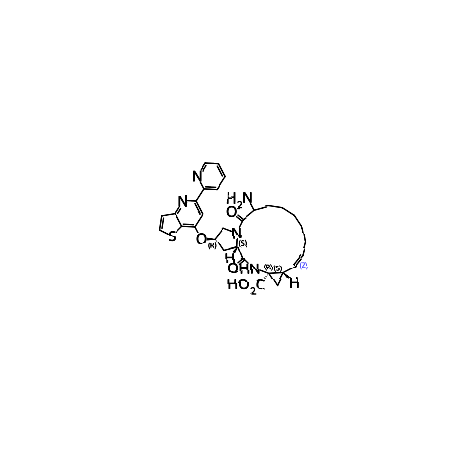 NC1CCCCC/C=C\[C@@H]2C[C@@]2(C(=O)O)NC(=O)[C@@H]2C[C@@H](Oc3cc(-c4ccccn4)nc4ccsc34)CN2C1=O